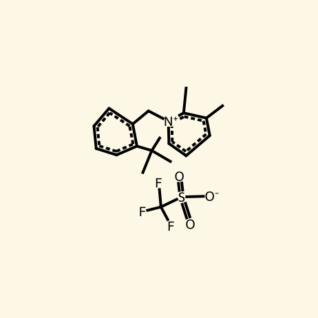 Cc1ccc[n+](Cc2ccccc2C(C)(C)C)c1C.O=S(=O)([O-])C(F)(F)F